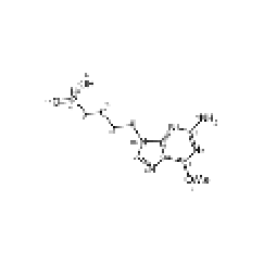 COc1nc(N)nc2c1ncn2CCOC[PH](=O)O